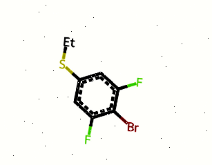 CCSc1cc(F)c(Br)c(F)c1